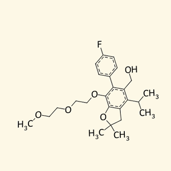 COCCOCCOc1c2c(c(C(C)C)c(CO)c1-c1ccc(F)cc1)CC(C)(C)O2